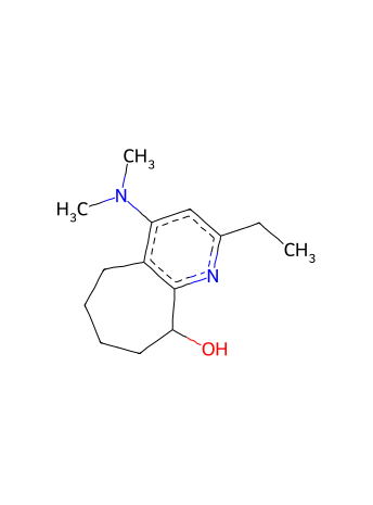 CCc1cc(N(C)C)c2c(n1)C(O)CCCC2